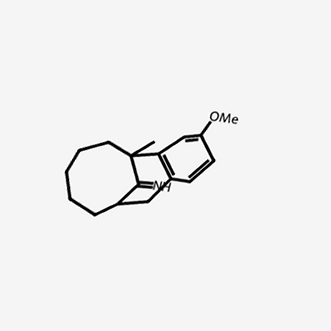 COc1ccc2c(c1)C1(C)CCCCCC(C2)C1=N